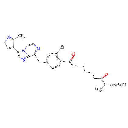 CCCCC[C@H](C)C(=O)CCCCCC(=O)c1ccc(Cc2nccn3c(C4=CCN=C4C(F)(F)F)cnc23)cc1CC